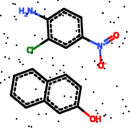 Nc1ccc([N+](=O)[O-])cc1Cl.Oc1ccc2ccccc2c1